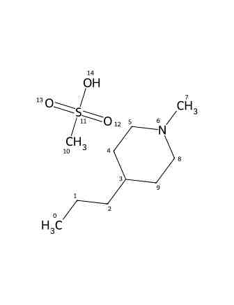 CCCC1CCN(C)CC1.CS(=O)(=O)O